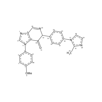 COc1ccc(-n2cnc3c2C(=O)C(c2ccc(-n4ccnc4C)cc2)N=C3)cc1